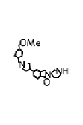 COCc1ccc(CN2CCC(c3ccc4c(c3)CN(C3CCCNC3)C4=O)CC2)cc1